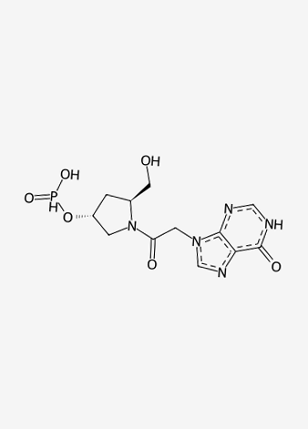 O=C(Cn1cnc2c(=O)[nH]cnc21)N1C[C@H](O[PH](=O)O)C[C@H]1CO